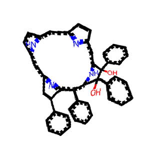 OC1(c2ccccc2)c2cc3nc(cc4ccc(cc5nc(c(-c6ccccc6)c([nH]2)C1(O)c1ccccc1)C(c1ccccc1)C5)[nH]4)C=C3